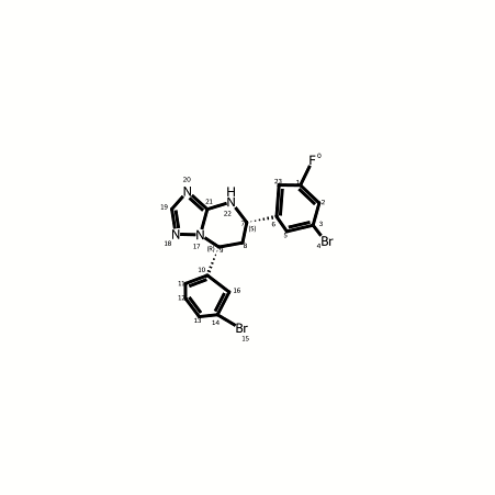 Fc1cc(Br)cc([C@@H]2C[C@H](c3cccc(Br)c3)n3ncnc3N2)c1